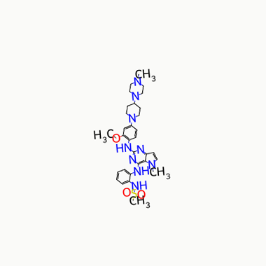 COc1cc(N2CCC(N3CCN(C)CC3)CC2)ccc1Nc1nc(Nc2ccccc2NS(C)(=O)=O)c2c(ccn2C)n1